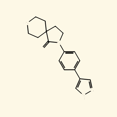 O=C1N(c2ccc(-c3cn[nH]c3)cc2)CCC12CCNCC2